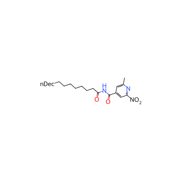 CCCCCCCCCCCCCCCCCC(=O)NC(=O)c1cc(C)nc([N+](=O)[O-])c1